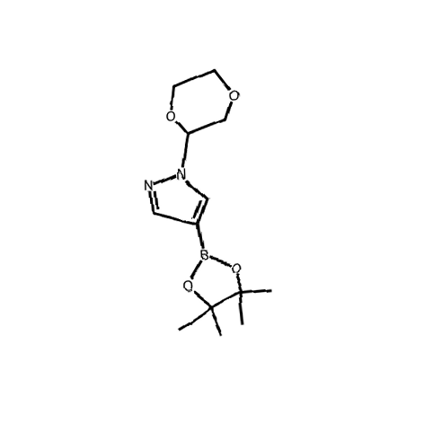 CC1(C)OB(c2cnn(C3COCCO3)c2)OC1(C)C